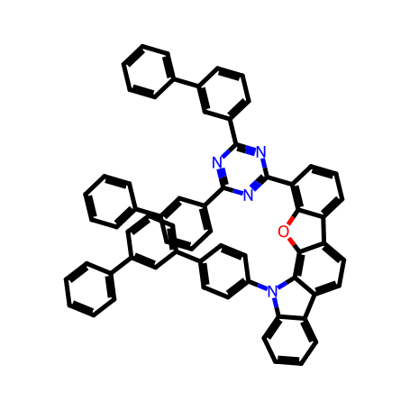 c1ccc(-c2cccc(-c3ccc(-n4c5ccccc5c5ccc6c7cccc(-c8nc(-c9cccc(-c%10ccccc%10)c9)nc(-c9cccc(-c%10ccccc%10)c9)n8)c7oc6c54)cc3)c2)cc1